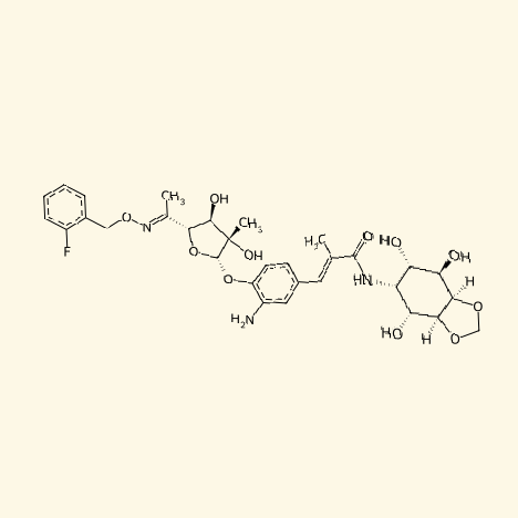 CC(=Cc1ccc(O[C@@H]2O[C@H](C(C)=NOCc3ccccc3F)[C@@H](O)[C@]2(C)O)c(N)c1)C(=O)N[C@@H]1[C@H](O)[C@@H](O)[C@H]2OCO[C@H]2[C@@H]1O